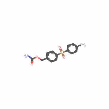 Cc1ccc(S(=O)(=O)c2ccc(COC(N)=O)cc2)cc1